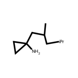 CC(C)CC(C)CC1(N)CC1